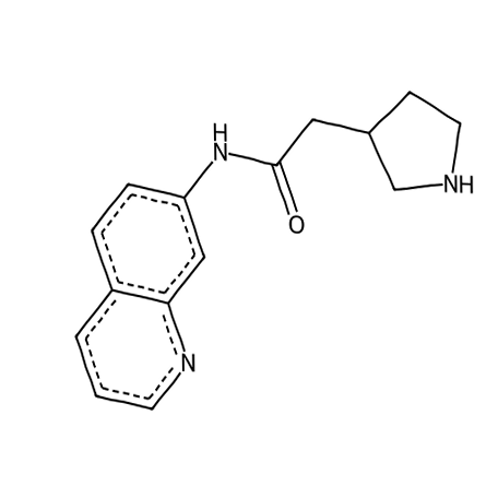 O=C(CC1CCNC1)Nc1ccc2cccnc2c1